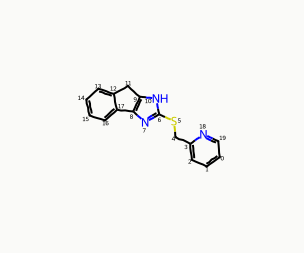 c1ccc(CSc2nc3c([nH]2)Cc2ccccc2-3)nc1